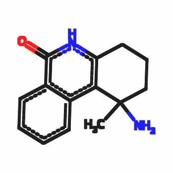 CC1(N)CCCc2[nH]c(=O)c3ccccc3c21